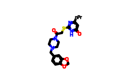 CCCc1cc(=O)[nH]c(SCC(=O)N2CCN(Cc3ccc4c(c3)OCO4)CC2)n1